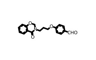 O=Cc1ccc(OCCCN2COc3ccccc3C2=O)cc1